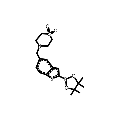 CC1(C)OB(c2cc3cc(CN4CCS(=O)(=O)CC4)ccc3s2)OC1(C)C